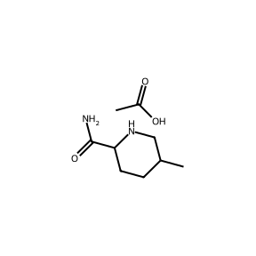 CC(=O)O.CC1CCC(C(N)=O)NC1